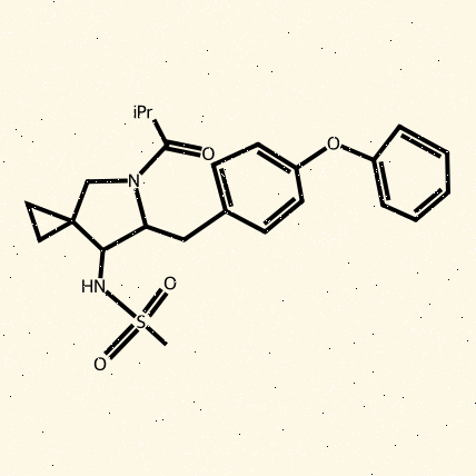 CC(C)C(=O)N1CC2(CC2)C(NS(C)(=O)=O)C1Cc1ccc(Oc2ccccc2)cc1